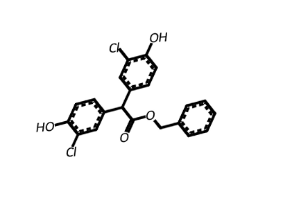 O=C(OCc1ccccc1)C(c1ccc(O)c(Cl)c1)c1ccc(O)c(Cl)c1